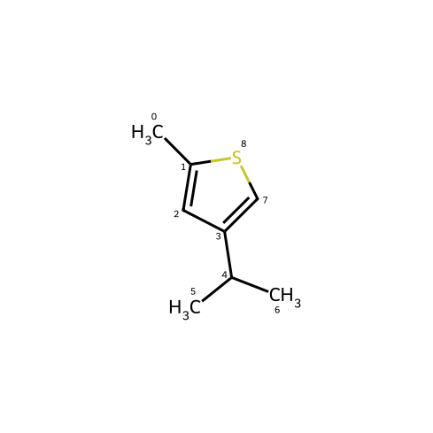 Cc1cc(C(C)C)cs1